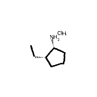 CC[C@H]1CCC[C@H]1N.Cl